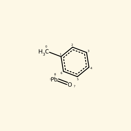 Cc1ccccc1.[O]=[Pb]